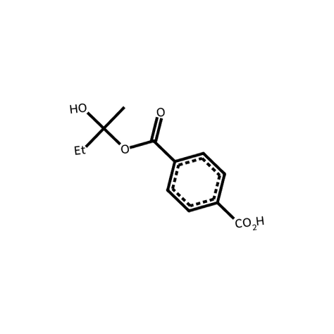 CCC(C)(O)OC(=O)c1ccc(C(=O)O)cc1